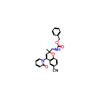 CC1(CNC(=O)OCc2ccccc2)C=C(n2ccccc2=O)c2cc(C#N)ccc2O1